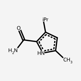 Cc1cc(C(C)C)c(C(N)=O)[nH]1